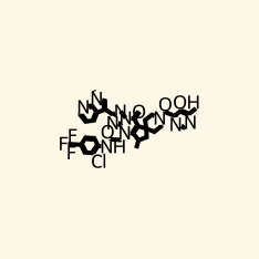 Cc1ncnc(C(=O)N2CCC3(CC2)CC(C)c2c3c(=O)n3nc(-c4cn(C)c5ncccc45)nc3n2CC(=O)Nc2ccc(C(F)(F)F)cc2Cl)c1O